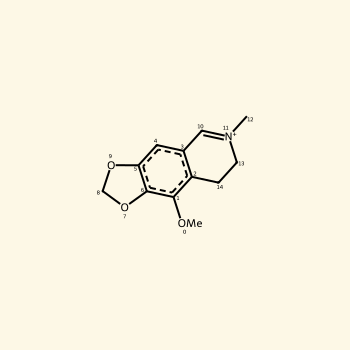 COc1c2c(cc3c1OCO3)C=[N+](C)CC2